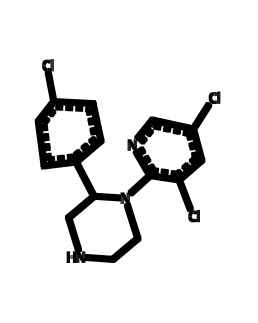 Clc1ccc(C2CNCCN2c2ncc(Cl)cc2Cl)cc1